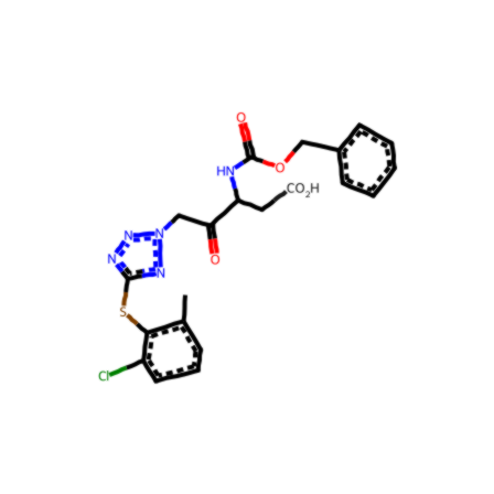 Cc1cccc(Cl)c1Sc1nnn(CC(=O)C(CC(=O)O)NC(=O)OCc2ccccc2)n1